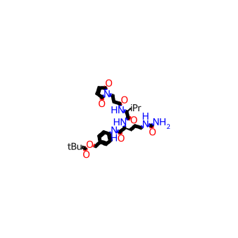 CC(C)[C@H](NC(=O)CCN1C(=O)C=CC1=O)C(=O)N[C@@H](CCCNC(N)=O)C(=O)Nc1ccc(COC(=O)C(C)(C)C)cc1